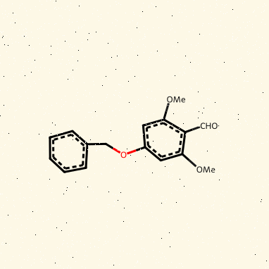 COc1cc(OCc2ccccc2)cc(OC)c1[C]=O